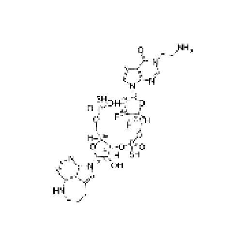 NCCn1cnc2c(ncn2[C@@H]2O[C@@H]3COP(=O)(S)O[C@H]4[C@@H](O)[C@H](n5cc6c7c(ncnc75)NCCC6)O[C@@H]4COP(=O)(S)O[C@@H]2[C@@H]3F)c1=O